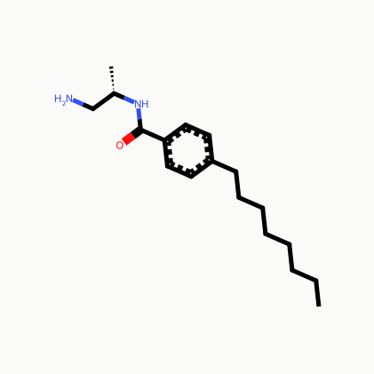 CCCCCCCCc1ccc(C(=O)N[C@@H](C)CN)cc1